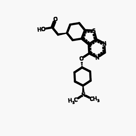 CN(C)[C@H]1CC[C@H](Oc2ncnc3sc4c(c23)C[C@@H](CC(=O)O)CC4)CC1